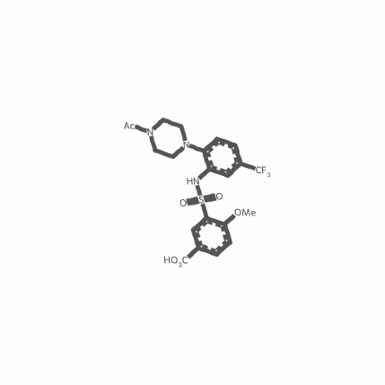 COc1ccc(C(=O)O)cc1S(=O)(=O)Nc1cc(C(F)(F)F)ccc1N1CCN(C(C)=O)CC1